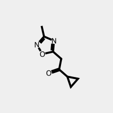 Cc1noc(CC(=O)C2CC2)n1